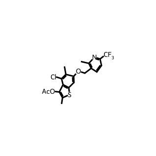 CC(=O)Oc1c(C)sc2cc(OCc3ccc(C(F)(F)F)nc3C)c(C)c(Cl)c12